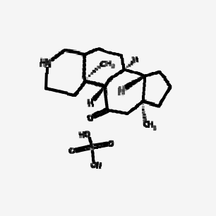 C[C@@]12CCC[C@H]1[C@@H]1CCC3CNCC[C@]3(C)[C@H]1C(=O)C2.O=S(=O)(O)O